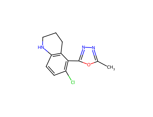 Cc1nnc(-c2c(Cl)ccc3c2CCCN3)o1